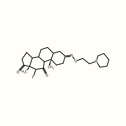 C[C@]12CCC(=NOCCN3CCCCC3)CC1CCC1C2C(=O)C(F)[C@]2(C)C(=O)CCC12